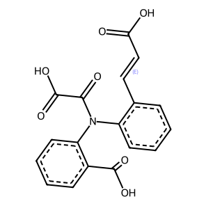 O=C(O)/C=C/c1ccccc1N(C(=O)C(=O)O)c1ccccc1C(=O)O